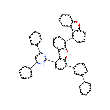 c1ccc(-c2cccc(-c3ccc(-c4nc(-c5ccccc5)cc(-c5ccccc5)n4)c4c3oc3c(-c5cccc6oc7ccccc7c56)cccc34)c2)cc1